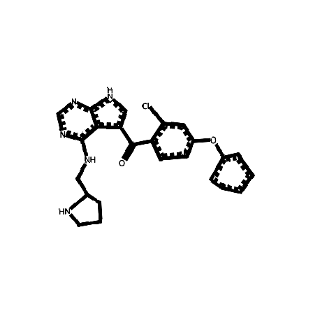 O=C(c1ccc(Oc2ccccc2)cc1Cl)c1c[nH]c2ncnc(NCC3CCCN3)c12